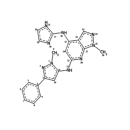 Cn1nc(-c2ccccc2)cc1Nc1cc(Nc2ncc[nH]2)c2cnn(C)c2n1